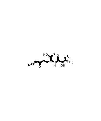 CC(C)[C@H](O)C(=O)N[C@@H](CCC(=O)C=[N+]=[N-])C(=O)O